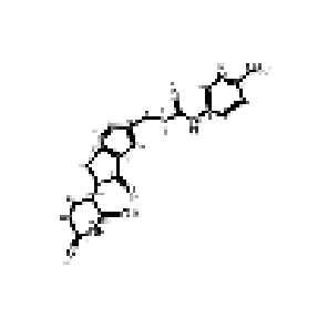 CC(C)(C)c1ccc(NC(=O)NCc2ccc3c(c2)C(=O)N(C2CCC(=O)NC2=O)C3)cn1